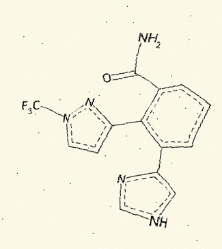 NC(=O)c1cccc(-c2c[nH]cn2)c1-c1ccn(C(F)(F)F)n1